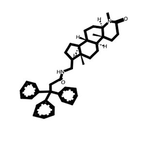 CN1C(=O)CC[C@]2(C)[C@H]3CC[C@]4(C)C(CNC(=O)CC(c5ccccc5)(c5ccccc5)c5ccccc5)CC[C@H]4[C@@H]3CC[C@@H]12